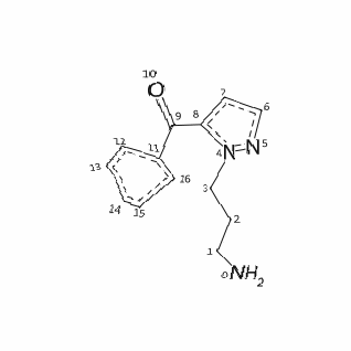 NCCCn1nccc1C(=O)c1ccccc1